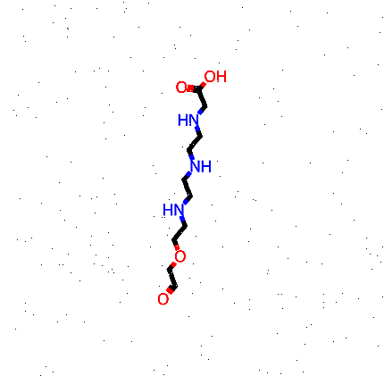 O=CCOCCNCCNCCNCC(=O)O